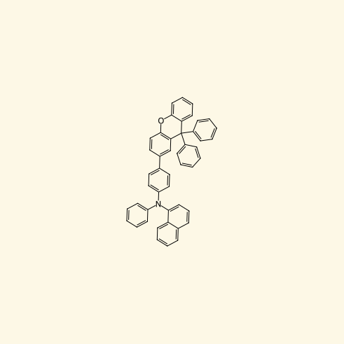 c1ccc(N(c2ccc(-c3ccc4c(c3)C(c3ccccc3)(c3ccccc3)c3ccccc3O4)cc2)c2cccc3ccccc23)cc1